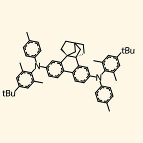 Cc1ccc(N(c2ccc3c(c2)[C@@]24CCC5(CC[C@]2(C5)c2cc(N(c5ccc(C)cc5)c5c(C)cc(C(C)(C)C)cc5C)ccc2-3)C4)c2c(C)cc(C(C)(C)C)cc2C)cc1